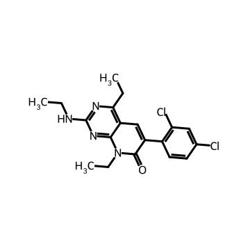 CCNc1nc(CC)c2cc(-c3ccc(Cl)cc3Cl)c(=O)n(CC)c2n1